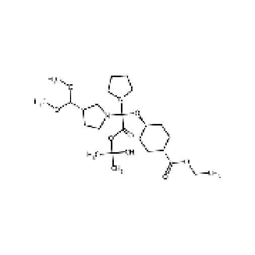 CCOC(=O)[C@H]1CC[C@H](OC(C(=O)OC(C)(C)C)(N2CCCC2)N2CC[C@H](C(OC)OC)C2)CC1